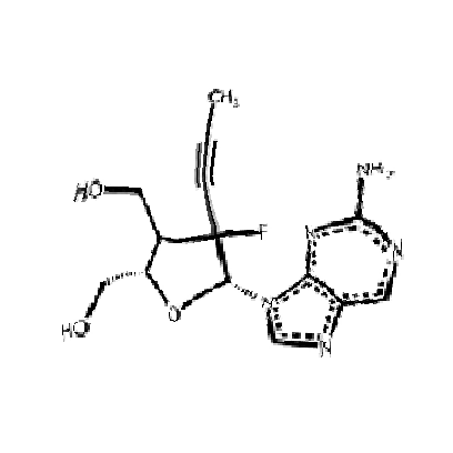 CC#CC1(F)C(CO)[C@@H](CO)O[C@H]1n1cnc2cnc(N)nc21